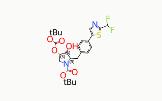 CC(C)(C)OC(=O)O[C@H]1CN(C(=O)OC(C)(C)C)[C@H](Cc2ccc(-c3cnc(C(F)F)s3)cc2)[C@@H]1O